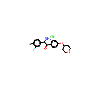 Cc1ccc(C(N)C(=O)c2ccc(OC3CCOCC3)cc2)cc1F.Cl